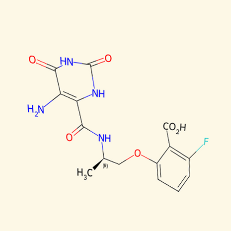 C[C@H](COc1cccc(F)c1C(=O)O)NC(=O)c1[nH]c(=O)[nH]c(=O)c1N